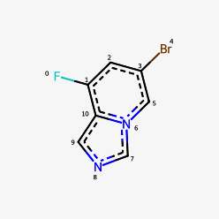 Fc1cc(Br)cn2cncc12